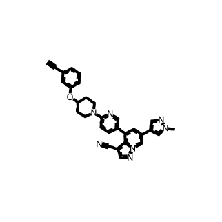 C#Cc1cccc(OC2CCN(c3ccc(-c4cc(-c5cnn(C)c5)cn5ncc(C#N)c45)cn3)CC2)c1